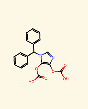 O=C(O)Oc1ncn(C(c2ccccc2)c2ccccc2)c1OC(=O)O